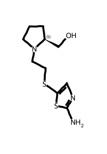 Nc1ncc(SCCN2CCC[C@H]2CO)s1